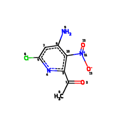 CC(=O)c1nc(Cl)cc(N)c1[N+](=O)[O-]